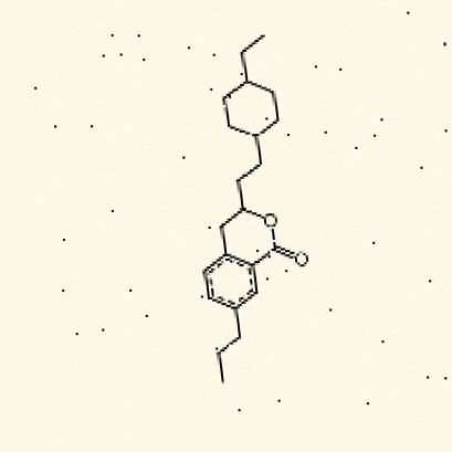 CCCc1ccc2c(c1)C(=O)OC(CCC1CCC(CC)CC1)C2